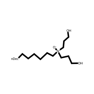 CCCCCCCCCCCCCCCC[N+]([O-])(CCCO)CCCO